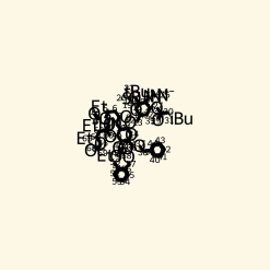 CCC(=O)O[C@H](CC)CC(=O)NC1[C@H](OCC2OC(O[Si](C)(C)C(C)(C)C)C(N=[N+]=[N-])[C@@H](OC(=O)C[C@H](C)CC)[C@@H]2C)OC(COCc2ccccc2)[C@@H](OP2(=O)OCc3ccccc3CO2)[C@@H]1OC(=O)C[C@@H](CC)OC(=O)CC